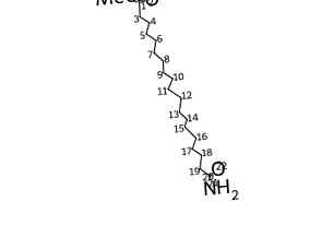 COC(=O)CCCCCCCCCCCCCCCCCC(N)=O